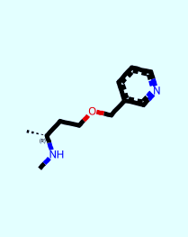 CN[C@H](C)CCOCc1cccnc1